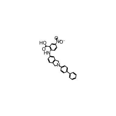 O=C(O)c1cc([N+](=O)[O-])ccc1Nc1ccc2c(c1)CN(c1ccc(-c3ccccc3)cc1)C2